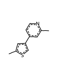 Cc1cc(-c2csc(C)c2)ccn1